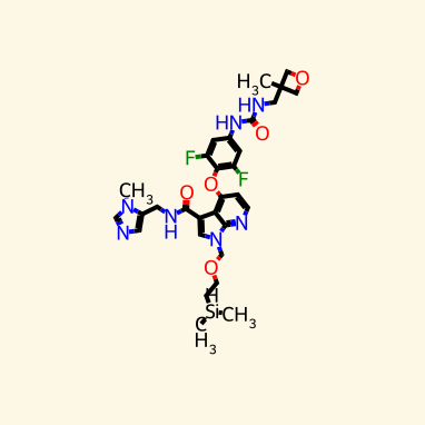 Cn1cncc1CNC(=O)c1cn(COCC[SiH](C)C)c2nccc(Oc3c(F)cc(NC(=O)NCC4(C)COC4)cc3F)c12